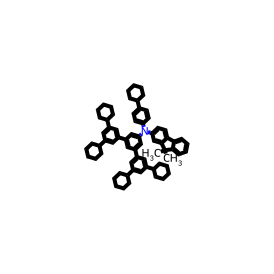 CC1(C)c2ccccc2-c2ccc(N(c3ccc(C4CCCCC4)cc3)c3cc(-c4cc(C5CCCCC5)cc(C5CCCCC5)c4)cc(-c4cc(C5CCCCC5)cc(C5CCCCC5)c4)c3)cc21